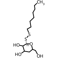 CCCCCCCCSS[C@@H]1OC(CO)CC(O)C1O